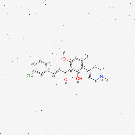 COc1cc(C)c(C2=CCN(C)CC2)c(O)c1C(=O)/C=C/c1cccc(Cl)c1